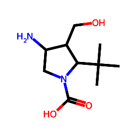 CC(C)(C)C1C(CO)C(N)CN1C(=O)O